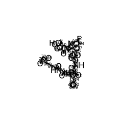 CC[C@@]1(O)C(=O)OCc2c1cc1n(c2=O)Cc2c-1nc1cc(F)c(C)c3c1c2[C@@H](N1CCOC(OCNC(=O)CNC(=O)[C@H](Cc2ccccc2)NC(=O)CNC(=O)CNC(=O)CCCCCN2C(=O)C=CC2=O)C1=O)CC3